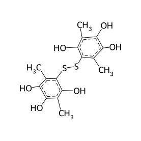 Cc1c(O)c(O)c(C)c(SSc2c(C)c(O)c(O)c(C)c2O)c1O